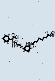 O=C(CCCCCCC(=O)Nc1cccc(OCCCN[C@H](C(=O)O)c2ccccc2)c1)NO